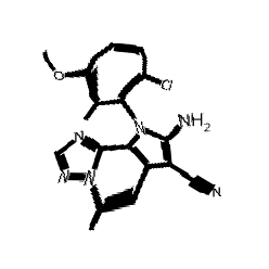 COc1ccc(Cl)c(-n2c(N)c(C#N)c3cc(C)n4ncnc4c32)c1C